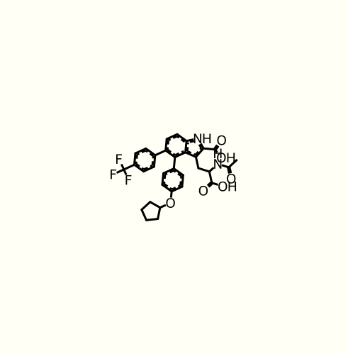 CC(=O)NC(Cc1c(C(=O)O)[nH]c2ccc(-c3ccc(C(F)(F)F)cc3)c(-c3ccc(OC4CCCC4)cc3)c12)C(=O)O